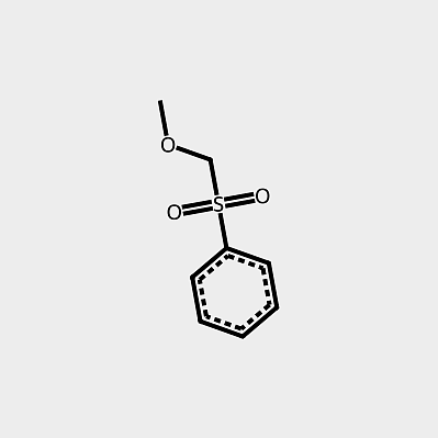 COCS(=O)(=O)c1ccccc1